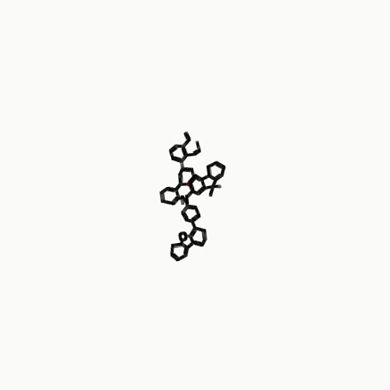 C=Cc1cccc(-c2cccc(-c3ccccc3N(c3ccc(-c4cccc5c4oc4ccccc45)cc3)c3ccc4c(c3)C(C)(C)c3ccccc3-4)c2)c1/C=C\C